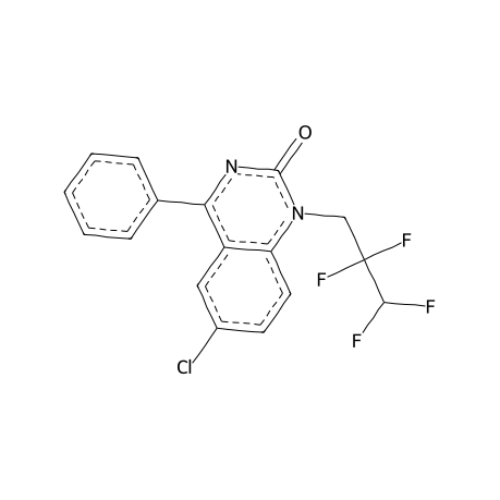 O=c1nc(-c2ccccc2)c2cc(Cl)ccc2n1CC(F)(F)C(F)F